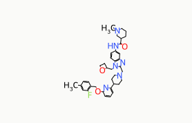 Cc1ccc(COc2cccc(C3CCN(Cc4nc5cc(NC(=O)C6CCCN(C)C6)ccc5n4CC4CCO4)CC3)n2)c(F)c1